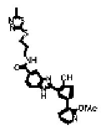 COc1ncccc1-c1ccc(O)c(-c2nc3cc(C(=O)NCCCSc4nnc(C)s4)ccc3[nH]2)c1